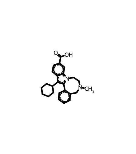 CN1CCn2c(c(C3CCCCC3)c3ccc(C(=O)O)cc32)-c2ccccc2C1